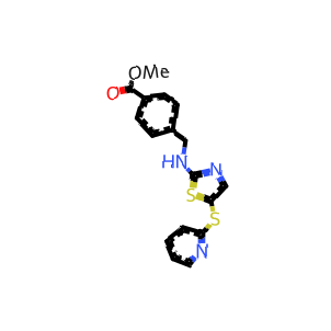 COC(=O)c1ccc(CNc2ncc(Sc3ccccn3)s2)cc1